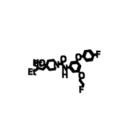 CCC(CC)CC1(O)CCN(C(=O)Nc2cc(OCCF)cc(Oc3ccc(F)cc3)c2)CC1